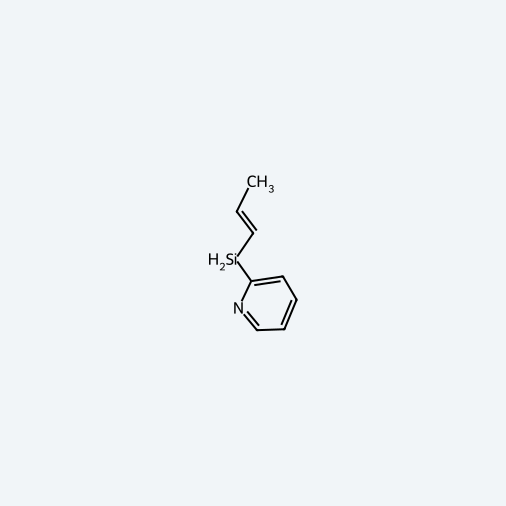 CC=C[SiH2]c1ccccn1